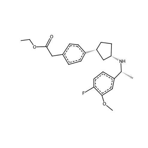 CCOC(=O)Cc1ccc([C@@H]2CC[C@H](N[C@H](C)c3ccc(F)c(OC)c3)C2)cc1